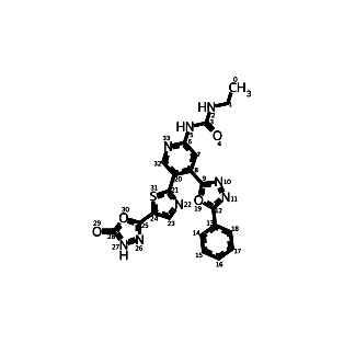 CCNC(=O)Nc1cc(-c2nnc(-c3ccccc3)o2)c(-c2ncc(-c3n[nH]c(=O)o3)s2)cn1